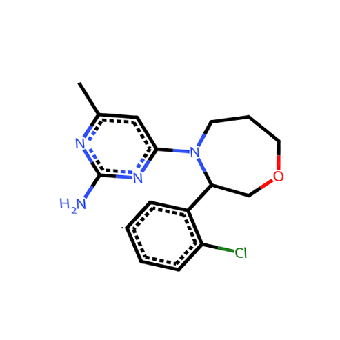 Cc1cc(N2CCCOCC2c2c[c]ccc2Cl)nc(N)n1